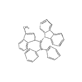 CC1=C[CH]([Zr]([CH]2c3ccccc3-c3ccccc32)=[Si](c2ccccc2)c2ccccc2)c2ccccc21